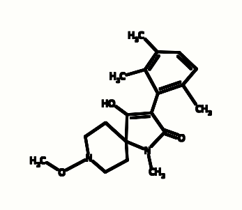 CON1CCC2(CC1)C(O)=C(c1c(C)ccc(C)c1C)C(=O)N2C